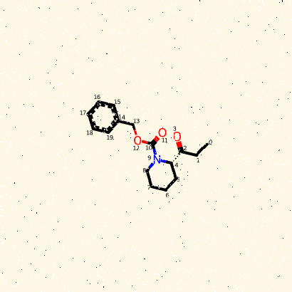 CCC(=O)[C@@H]1CCCCN1C(=O)OCc1ccccc1